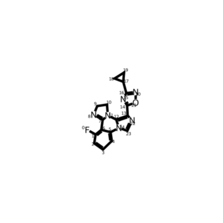 Fc1cccc2c1C1=NCCN1c1c(-c3nc(C4CC4)no3)ncn1-2